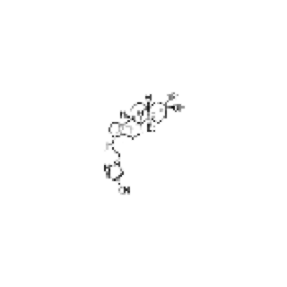 CCC[C@@]1(O)CC[C@@]2(CC)[C@H](CC[C@@H]3[C@@H]2CC[C@]2(C)C([C@@H](C)Cn4cc(C#N)cn4)CC[C@@H]32)C1